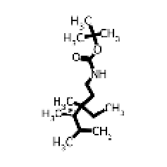 CCC(C)(CCNC(=O)OC(C)(C)C)[C@H](C)C(C)C